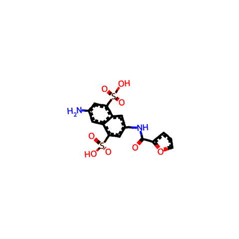 Nc1cc(S(=O)(=O)O)c2cc(NC(=O)c3ccco3)cc(S(=O)(=O)O)c2c1